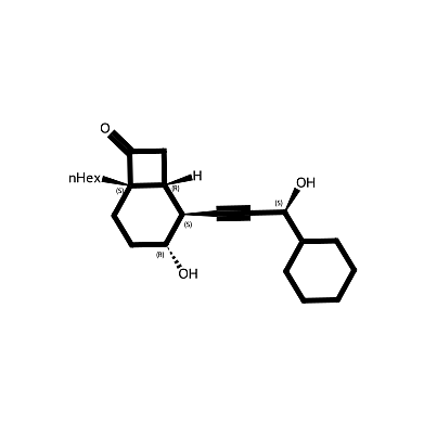 CCCCCC[C@]12CC[C@@H](O)[C@H](C#C[C@@H](O)C3CCCCC3)[C@H]1CC2=O